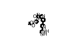 CN/C=C\C(=N)c1ccc(-c2ccc3ncc4c(c3c2)n(C2CCN(C(=O)OC(C)(C)C)C2)c(=O)n4C)cn1